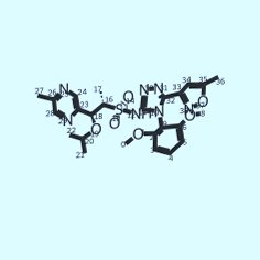 COc1cccc(OC)c1-n1c(NS(=O)(=O)[C@@H](C)[C@@H](OC(C)C)c2cnc(C)cn2)nnc1-c1cc(C)on1